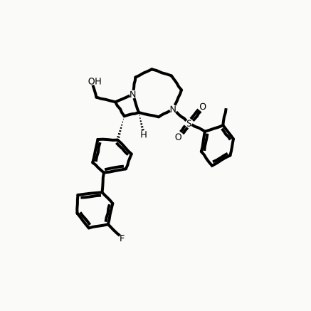 Cc1ccccc1S(=O)(=O)N1CCCCN2C(CO)[C@@H](c3ccc(-c4cccc(F)c4)cc3)[C@@H]2C1